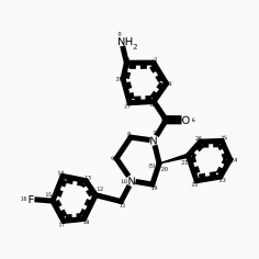 Nc1ccc(C(=O)N2CCN(Cc3ccc(F)cc3)C[C@@H]2c2ccccc2)cc1